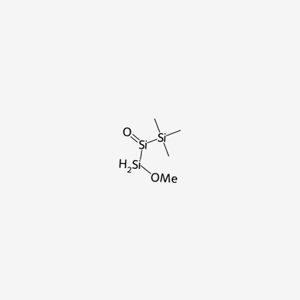 CO[SiH2][Si](=O)[Si](C)(C)C